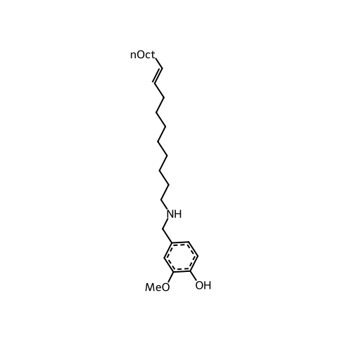 CCCCCCCCC=CCCCCCCCCNCc1ccc(O)c(OC)c1